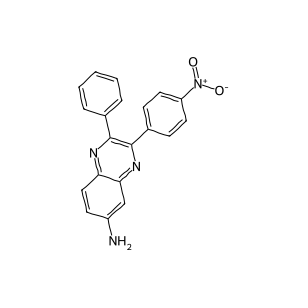 Nc1ccc2nc(-c3ccccc3)c(-c3ccc([N+](=O)[O-])cc3)nc2c1